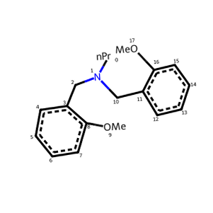 CCCN(Cc1ccccc1OC)Cc1ccccc1OC